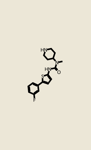 CN(C(=O)Nc1ccc(-c2cccc(F)c2)s1)C1CCNCC1